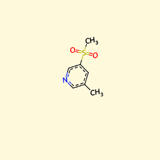 Cc1cncc(S(C)(=O)=O)c1